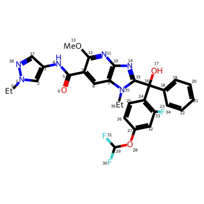 CCn1cc(NC(=O)c2cc3c(nc2OC)nc(C(O)(c2ccccc2)c2ccc(OC(F)F)cc2F)n3CC)cn1